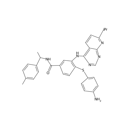 Cc1ccc(C(C)NC(=O)c2ccc(Sc3ccc(N)cc3)c(Nc3ncnc4nc(C(C)C)ccc34)c2)cc1